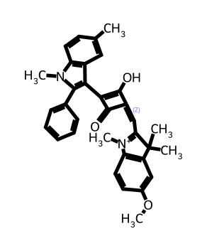 COc1ccc2c(c1)C(C)(C)C(/C=C1\C(=O)C(c3c(-c4ccccc4)n(C)c4ccc(C)cc34)=C1O)=[N+]2C